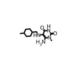 CC1CCC(CNc2c(N)n(C)c(=O)[nH]c2=O)CC1